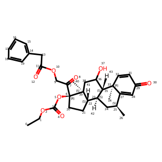 CCOC(=O)O[C@]1(C(=O)COC(=O)Cc2ccccc2)CC[C@H]2[C@@H]3C[C@H](C)C4=CC(=O)C=C[C@]4(C)[C@H]3C(O)C[C@@]21C